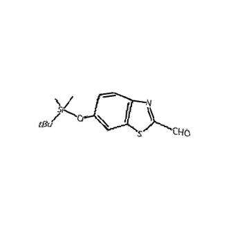 CC(C)(C)[Si](C)(C)Oc1ccc2nc(C=O)sc2c1